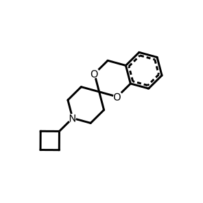 c1ccc2c(c1)COC1(CCN(C3CCC3)CC1)O2